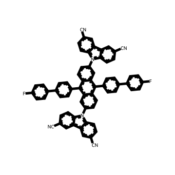 N#Cc1ccc2c(c1)c1cc(C#N)ccc1n2-c1ccc2c(-c3ccc(-c4ccc(F)cc4)cc3)c3cc(-n4c5ccc(C#N)cc5c5cc(C#N)ccc54)ccc3c(-c3ccc(-c4ccc(F)cc4)cc3)c2c1